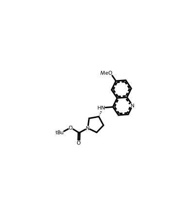 COc1ccc2nccc(N[C@@H]3CCN(C(=O)OC(C)(C)C)C3)c2c1